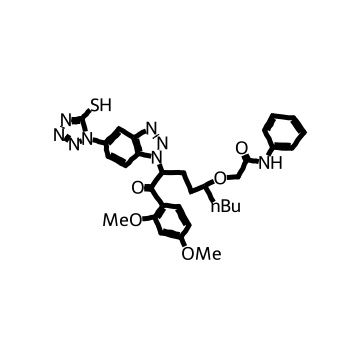 CCCCC(CCC(C(=O)c1ccc(OC)cc1OC)n1nnc2cc(-n3nnnc3S)ccc21)OCC(=O)Nc1ccccc1